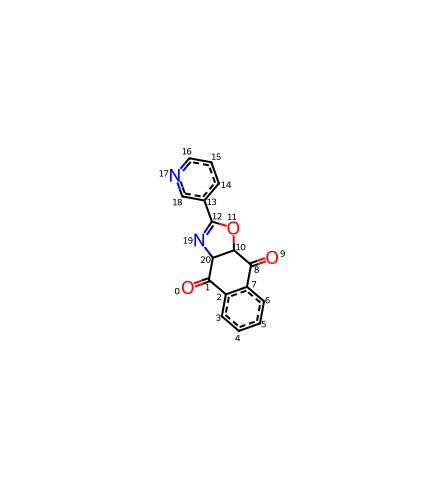 O=C1c2ccccc2C(=O)C2OC(c3cccnc3)=NC12